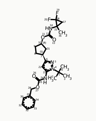 CC(C)(C)n1nc([C@H]2CC[C@@H](OC(=O)NC3(C)CC3(F)F)C2)cc1NC(=O)OCc1ccccc1